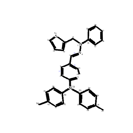 C=C(\C=C/C(/C=N/N(Cc1cccs1)c1ccccc1)=C\C)N(c1ccc(C)cc1)c1ccc(C)cc1